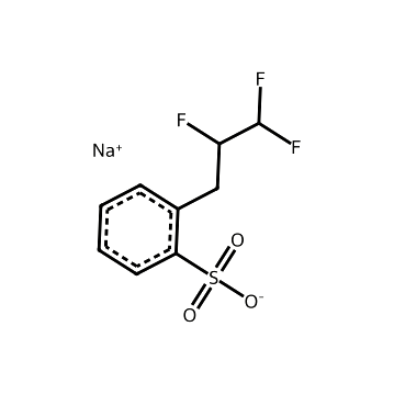 O=S(=O)([O-])c1ccccc1CC(F)C(F)F.[Na+]